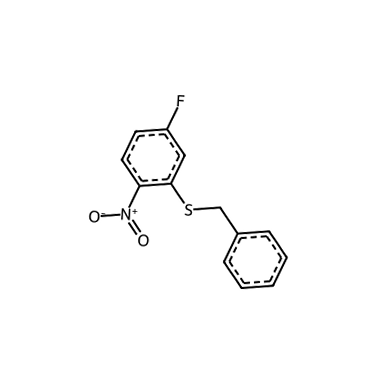 O=[N+]([O-])c1ccc(F)cc1SCc1ccccc1